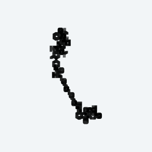 Cc1cc(Nc2ncc(Cl)c(Nc3ccccc3S(=O)(=O)C(C)C)n2)c(OC(C)C)cc1C1CCN(CC(=O)NCCOCCOCCOCCOCCNc2cccc3c2C(=O)N(C2CCC(=O)NC2=O)C3=O)CC1